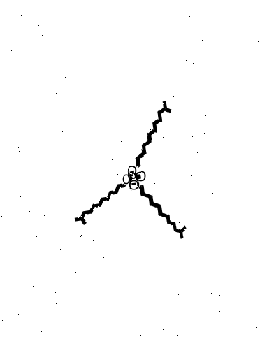 CC(C)CCCCCCCCCCOP(=O)(OCCCCCCCCCCC(C)C)OCCCCCCCCCCC(C)C